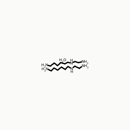 NCCCCCCNCCN.NCCCCCCNCCN.O